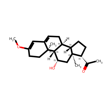 COC1=CC2=CC[C@@H]3[C@H]([C@@H](O)C[C@]4(C)[C@@H](C(C)=O)CC[C@@H]34)[C@@]2(C)CC1